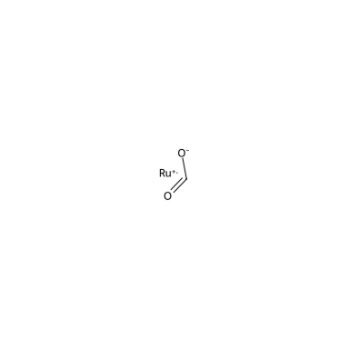 O=C[O-].[Ru+]